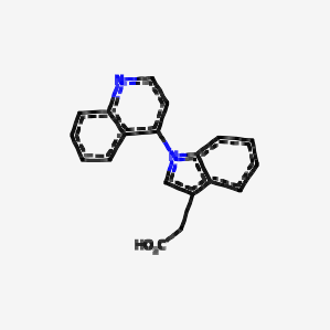 O=C(O)Cc1cn(-c2ccnc3ccccc23)c2ccccc12